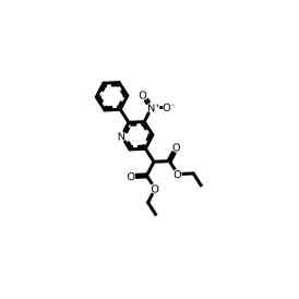 CCOC(=O)C(C(=O)OCC)c1cnc(-c2ccccc2)c([N+](=O)[O-])c1